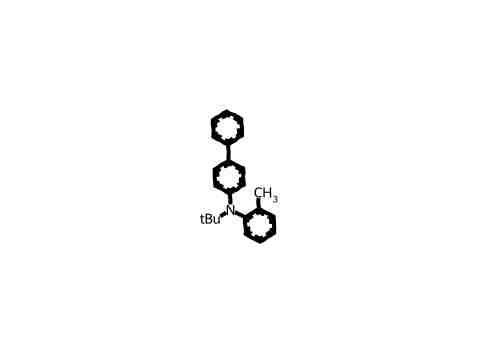 Cc1ccccc1N(c1ccc(-c2ccccc2)cc1)C(C)(C)C